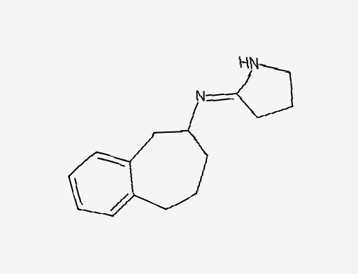 c1ccc2c(c1)CCCC(/N=C1\CCCN1)C2